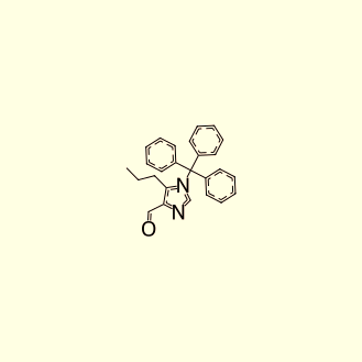 CCCc1c(C=O)ncn1C(c1ccccc1)(c1ccccc1)c1ccccc1